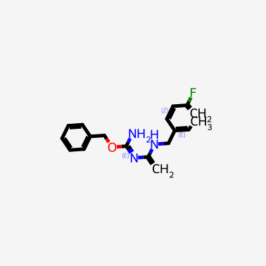 C=C(F)/C=C\C(=C/C)CNC(=C)/N=C(\N)OCc1ccccc1